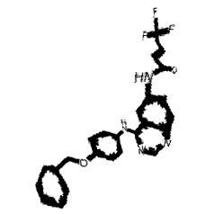 O=C(/C=C/C(F)(F)F)Nc1ccc2ncnc(Nc3ccc(OCc4ccccc4)cc3)c2c1